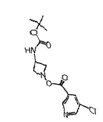 CC(C)(C)OC(=O)NC1CN(OC(=O)c2cncc(Cl)c2)C1